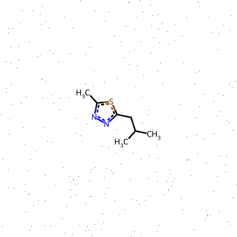 Cc1nnc(CC(C)C)s1